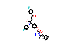 O=C(COc1ccc(C2C(CCC(=O)c3ccc(F)cc3)C(=O)N2c2ccc(F)cc2)cc1)N[C@H](Cc1ccccc1)C(=O)O